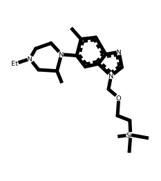 CCN1CCN(c2cc3c(cc2C)ncn3COCC[Si](C)(C)C)C(C)C1